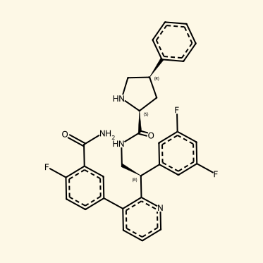 NC(=O)c1cc(-c2cccnc2[C@@H](CNC(=O)[C@@H]2C[C@H](c3ccccc3)CN2)c2cc(F)cc(F)c2)ccc1F